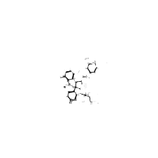 Cn1ccc(NC(=O)[C@@H]2N[C@@H](CC(C)(C)CCO)[C@](N)(c3ccc(Cl)cc3F)[C@H]2c2cccc(Cl)c2F)cc1=O